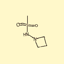 CS(=O)(=O)NN1CCC1